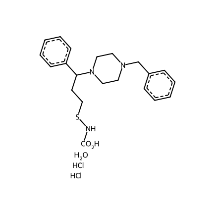 Cl.Cl.O.O=C(O)NSCCC(c1ccccc1)N1CCN(Cc2ccccc2)CC1